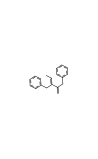 C=C(Cc1ccccc1)C(=CC)Cc1ccccc1